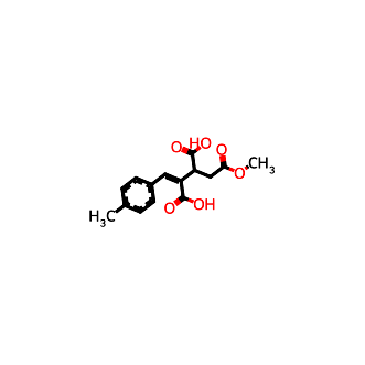 COC(=O)CC(C(=O)O)C(=Cc1ccc(C)cc1)C(=O)O